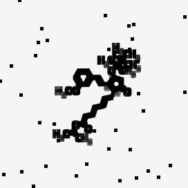 COc1cccc(C=C[C@H]2[C@H](O[Si](C)(C)C(C)(C)C)CC(=O)[C@@H]2CC=CCCCC(=O)OC(C)C)c1